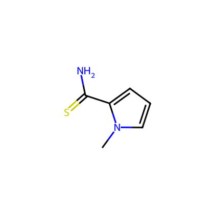 Cn1cccc1C(N)=S